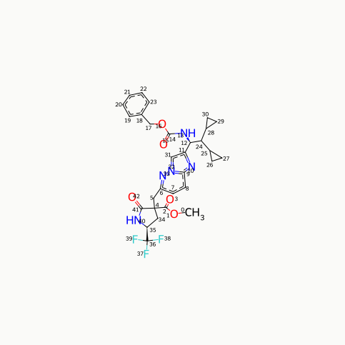 COC(=O)C1(Cc2ccc3nc([C@@H](NC(=O)OCc4ccccc4)C(C4CC4)C4CC4)cn3n2)C[C@@H](C(F)(F)F)NC1=O